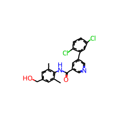 Cc1cc(CO)cc(C)c1NC(=O)c1cncc(-c2cc(Cl)ccc2Cl)c1